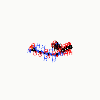 COc1cccc2c1C(=O)c1c(O)c3c(c(O)c1C2=O)C[C@@](O)(C(=O)NC12CC(NC(=O)CNC(=O)CNC(=O)CNC(=O)CCNC(=O)c4cnc(S(C)(=O)=O)c(C#N)c4)(C1)C2)C[C@@H]3O[C@H]1C[C@H]2[C@H](O[C@@H]3[C@@H](OC)OCCN32)[C@H](C)O1